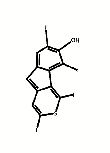 Oc1c(I)cc2cc3cc(I)sc(I)c-3c2c1I